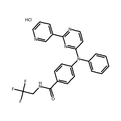 Cl.O=C(NCC(F)(F)F)c1ccc(N(c2ccccc2)c2ccnc(-c3cccnc3)n2)cc1